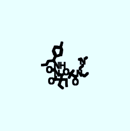 CCCC(NC(=O)N1C(=O)C(CC)(CC)C1OC(C)(C)C(=O)N(CC)CCN(C)C)c1ccc(C)cc1